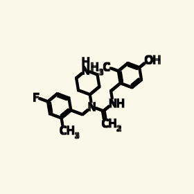 C=C(NCc1ccc(O)cc1C)N(Cc1ccc(F)cc1C)C1CCNCC1